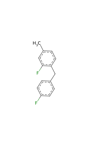 Cc1ccc(Cc2ccc(F)cc2)c(F)c1